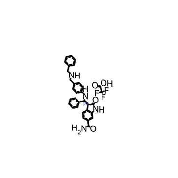 NC(=O)c1ccc2c(c1)NC(=O)/C2=C(\Nc1ccc(CNCc2ccccc2)cc1)c1ccccc1.O=C(O)C(F)(F)F